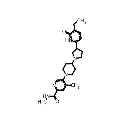 CCc1ccc(C2CCN(C3CCN(c4cnc(C(=O)NC)cc4C)CC3)C2)[nH]c1=O